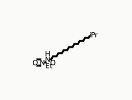 CCC(NC(=O)CCCCCCCCCCCCCCC(C)C)N1CCOCC1